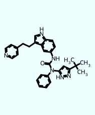 CC(C)(C)c1cc(N(C(=O)Nc2ccc3[nH]cc(CCc4ccncc4)c3c2)c2ccccc2)[nH]n1